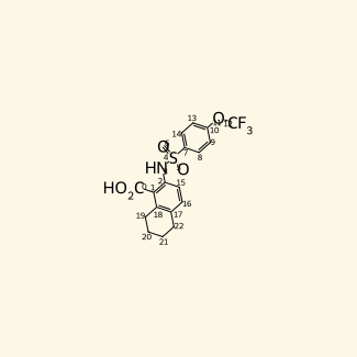 O=C(O)c1c(NS(=O)(=O)c2ccc(OC(F)(F)F)cc2)ccc2c1CCCC2